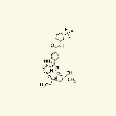 C=CC(=O)N1CC2C([C@H]1c1nc(-c3ccc(C(=O)Nc4cc(C(F)(F)F)ccn4)cc3)c3c(N)nccn13)C2(C)C